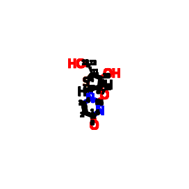 O=c1ccn2c(n1)O[C@H]1[C@H](O)[C@@H](CO)S[C@H]12